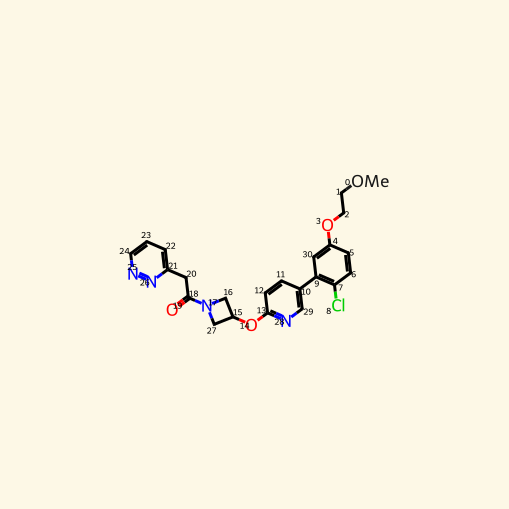 COCCOc1ccc(Cl)c(-c2ccc(OC3CN(C(=O)Cc4cccnn4)C3)nc2)c1